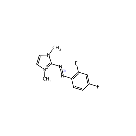 Cn1cc[n+](C)c1/N=N/c1ccc(F)cc1F